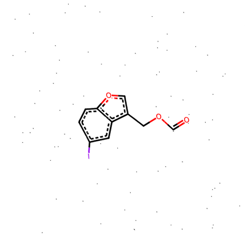 O=[C]OCc1coc2ccc(I)cc12